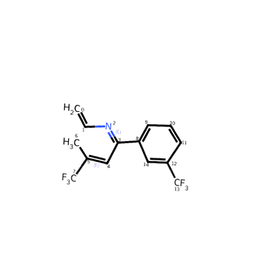 C=C/N=C(\C=C(/C)C(F)(F)F)c1cccc(C(F)(F)F)c1